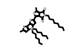 CCCCCCCCN1C(=O)c2c(C)sc(-c3cc4c(s3)-c3sc(C)cc3[Si]4(CCCCCC)CCCCCC)c2C1=O